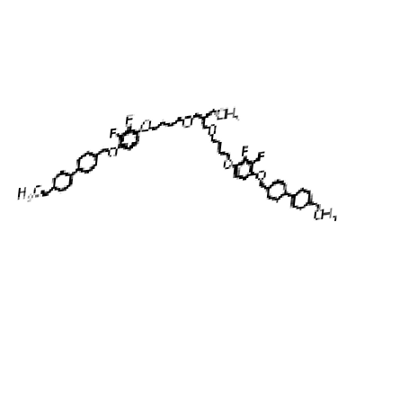 C=CC1CCC(C2CCC(COc3ccc(OCCCCOCC(CC)COCCCCOc4ccc(OCC5CCC(C6CCC(CC)CC6)CC5)c(F)c4F)c(F)c3F)CC2)CC1